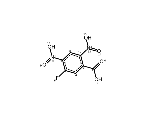 O=C(O)c1cc(F)c([N+](=O)O)cc1[N+](=O)O